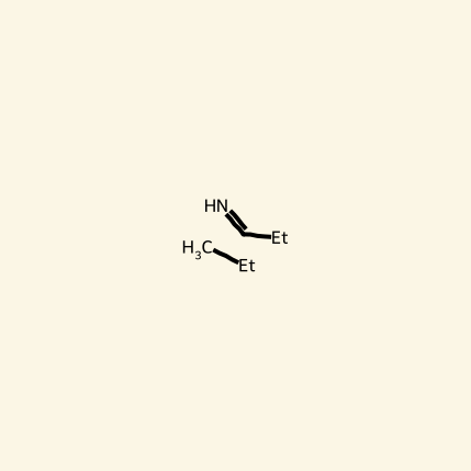 CCC.CCC=N